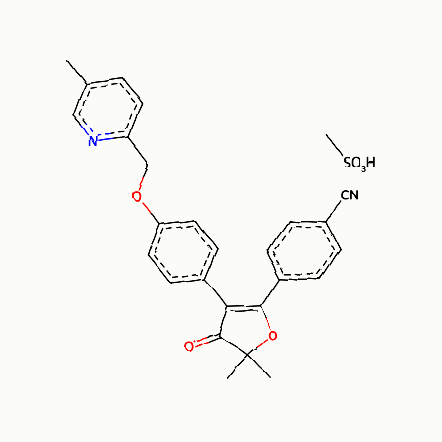 CS(=O)(=O)O.Cc1ccc(COc2ccc(C3=C(c4ccc(C#N)cc4)OC(C)(C)C3=O)cc2)nc1